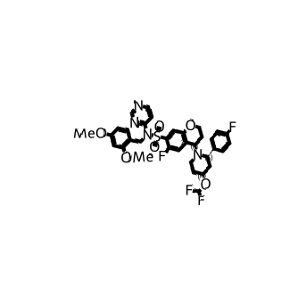 COc1ccc(CN(c2ccncn2)S(=O)(=O)c2cc3c(cc2F)[C@H](N2CC[C@@H](OC(F)F)C[C@H]2c2ccc(F)cc2)CCO3)c(OC)c1